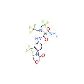 NC(=O)[C@H](C(=O)Nc1ccc(N2CCOCC2=O)c(C(F)(F)F)c1)N(CC(F)(F)F)CC(F)(F)F